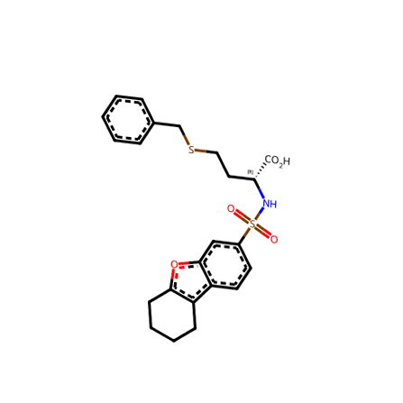 O=C(O)[C@@H](CCSCc1ccccc1)NS(=O)(=O)c1ccc2c3c(oc2c1)CCCC3